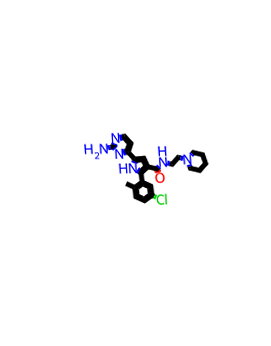 Cc1ccc(Cl)cc1-c1[nH]c(-c2ccnc(N)n2)cc1C(=O)NCCN1CCCCC1